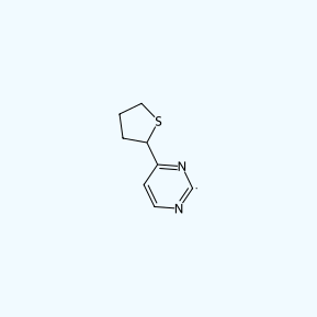 [c]1nccc(C2CCCS2)n1